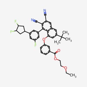 CCOCCOC(=O)c1cccc(Oc2cc(C(C)(C)C)cc3cc(C#N)c(C#N)c(-c4cc(F)cc(C5CC(F)C(F)C5)c4)c23)c1